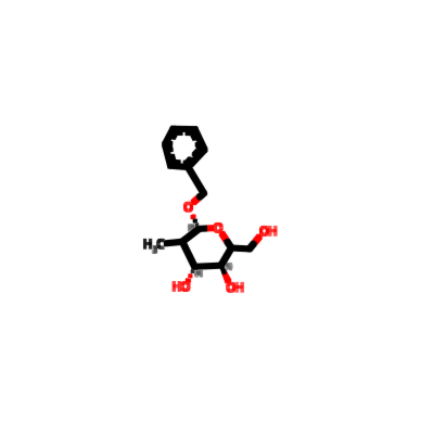 CC1[C@H](OCc2ccccc2)OC(CO)[C@@H](O)[C@@H]1O